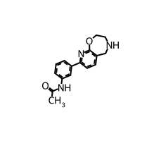 CC(=O)Nc1cccc(-c2ccc3c(n2)OCCNC3)c1